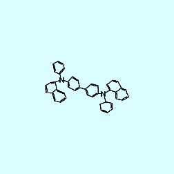 C1=CCC(N(c2ccc(-c3ccc(N(c4ccccc4)c4cccc5ccccc45)cc3)cc2)c2cccc3ccccc23)C=C1